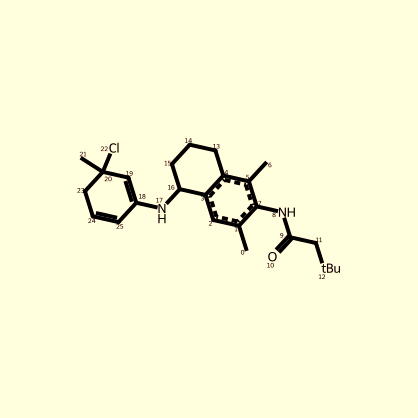 Cc1cc2c(c(C)c1NC(=O)CC(C)(C)C)CCCC2NC1=CC(C)(Cl)CC=C1